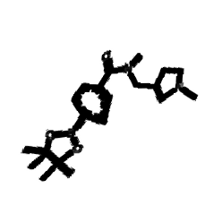 CN1CCC(CN(C)C(=O)c2ccc(B3OC(C)(C)C(C)(C)O3)cc2)C1